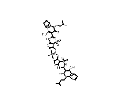 CC(C)CCN1C(=O)C(C2=NS(=O)(=O)c3c(CN(Cc4csc5c4S(=O)(=O)N=C(C4=C(O)C6C7C=CC(C7)C6N(CCC(C)C)C4=O)N5)S(C)(=O)=O)csc3N2)=C(O)C2C3C=CC(C3)C21